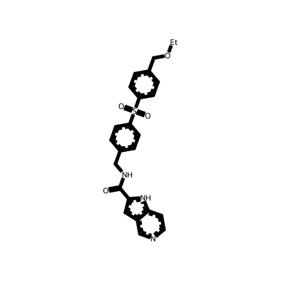 CCOCc1ccc(S(=O)(=O)c2ccc(CNC(=O)c3cc4cnccc4[nH]3)cc2)cc1